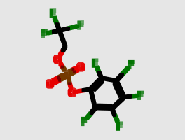 O=S(=O)(OCC(F)(F)F)Oc1c(F)c(F)c(F)c(F)c1F